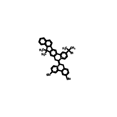 CCC(C)(C)c1cc[n+]2c(c1)-c1cc3c(cc1C/C2=C1/Cc2ccc(C(C)(C)C)cc2-c2cc(C(C)(C)C)cc[n+]21)C(C)(C)c1c-3ccc2ccccc12